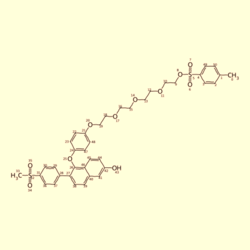 Cc1ccc(S(=O)(=O)OCCOCCOCCOCCOc2ccc(Oc3c(-c4ccc(S(C)(=O)=O)cc4)ccc4cc(O)ccc34)cc2)cc1